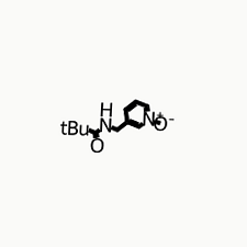 CC(C)(C)C(=O)NCc1ccc[n+]([O-])c1